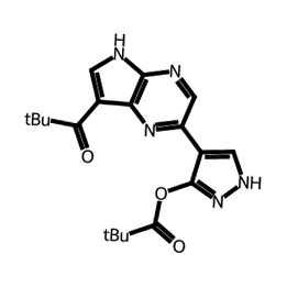 CC(C)(C)C(=O)Oc1n[nH]cc1-c1cnc2[nH]cc(C(=O)C(C)(C)C)c2n1